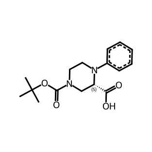 CC(C)(C)OC(=O)N1CCN(c2ccccc2)[C@H](C(=O)O)C1